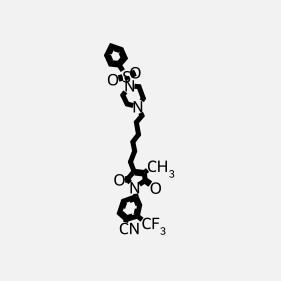 CC1=C(CCCCCCN2CCN(S(=O)(=O)c3ccccc3)CC2)C(=O)N(c2ccc(C#N)c(C(F)(F)F)c2)C1=O